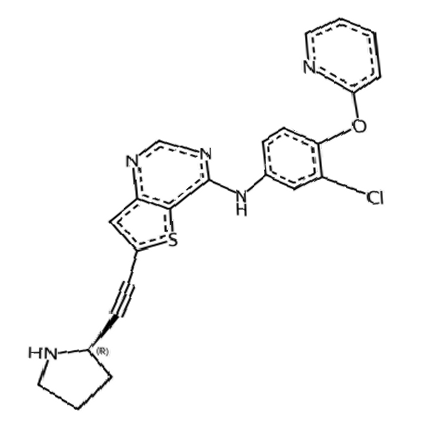 Clc1cc(Nc2ncnc3cc(C#C[C@H]4CCCN4)sc23)ccc1Oc1ccccn1